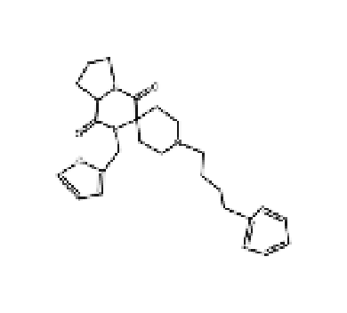 O=C1C2CCCN2C(=O)C2(CCN(CCCCc3ccccc3)CC2)N1Cc1ccco1